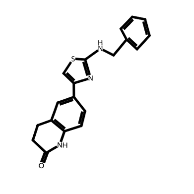 O=C1CCc2cc(-c3csc(NCc4ccccc4)n3)ccc2N1